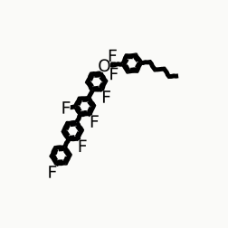 CCCCCc1ccc(C(F)(F)Oc2ccc(-c3cc(F)c(-c4ccc(-c5ccc(F)cc5)c(F)c4)c(F)c3)c(F)c2)cc1